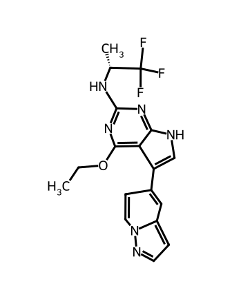 CCOc1nc(N[C@H](C)C(F)(F)F)nc2[nH]cc(-c3ccn4nccc4c3)c12